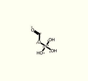 O=CO[N+](O)(O)O